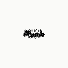 CSSCc1ccccc1C(=O)Nc1ccn([C@H]2CC(O)[C@@H](COP(=O)(O)OP(=O)(O)OP(=O)(O)O)O2)c(=O)n1